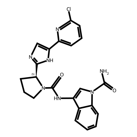 NC(=O)n1cc(NC(=O)N2CCC[C@H]2c2ncc(-c3cccc(Cl)n3)[nH]2)c2ccccc21